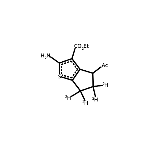 [2H]C1([2H])c2sc(N)c(C(=O)OCC)c2C(C(C)=O)C1([2H])[2H]